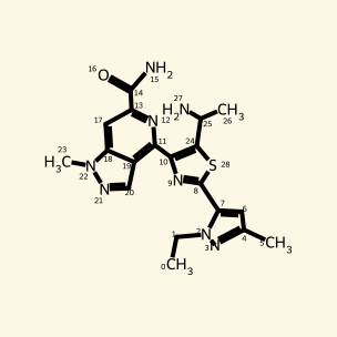 CCn1nc(C)cc1-c1nc(-c2nc(C(N)=O)cc3c2cnn3C)c(C(C)N)s1